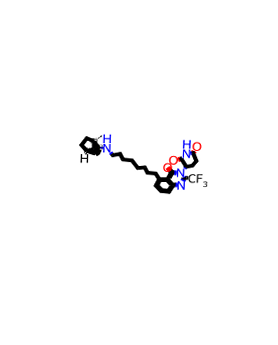 CC1(C)[C@@H]2CC[C@@]1(C)[C@@H](NCCCCCCCCc1cccc3nc(C(F)(F)F)n(C4CCC(=O)NC4=O)c(=O)c13)C2